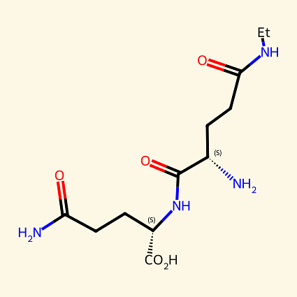 CCNC(=O)CC[C@H](N)C(=O)N[C@@H](CCC(N)=O)C(=O)O